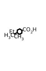 CCC(C)(C)C1CCC(C(=O)O)CC1